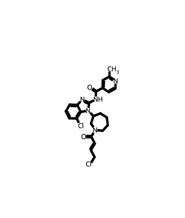 Cc1cc(C(=O)Nc2nc3cccc(Cl)c3n2C2CCCCN(C(=O)/C=C/CCl)C2)ccn1